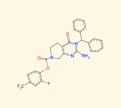 Nc1nc2c(c(=O)n1C(c1ccccc1)c1ccccc1)CCN(C(=O)Oc1ccc(C(F)(F)F)cc1F)C2